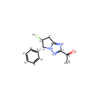 CCC(=O)c1nc2n(n1)[C@H](c1ccccc1)[C@@H](F)C2